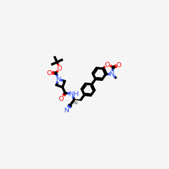 Cn1c(=O)oc2ccc(-c3ccc(C[C@@H](C#N)NC(=O)C4CN(C(=O)OC(C)(C)C)C4)cc3)cc21